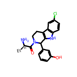 CC[C@@H](N)C(=O)N1CCc2c([nH]c3ccc(Cl)cc23)C1c1cccc(O)c1